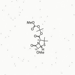 COC(=O)OC(C)(C)OC(=O)[C@@H]1N2C(=O)[C@@H](OC)[C@H]2SC1(C)C